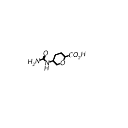 NC(=O)NC1CCC(C(=O)O)OC1